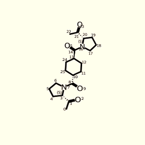 CC(=O)[C@@H]1CCCN1C(=O)[C@H]1CC[C@H](C(=O)N2CCC[C@H]2C(C)=O)CC1